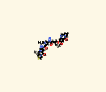 COc1cc2c(cc1OCCCC(=O)Nc1cc(C(=O)Nc3cc(C(=O)N4CCSCC4)n(C)c3)n(C)c1)N=CC1CCCN1C2=O